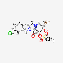 CS(=O)(=O)Oc1c(=O)c(Br)cn2ccn(Cc3cccc(Cl)c3)c(=O)c12